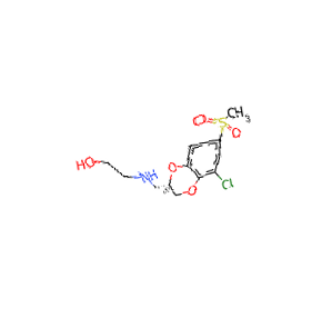 CS(=O)(=O)c1cc(Cl)c2c(c1)O[C@@H](CNCCO)CO2